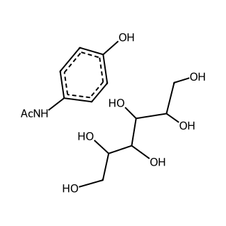 CC(=O)Nc1ccc(O)cc1.OCC(O)C(O)C(O)C(O)CO